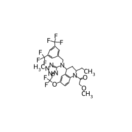 CCC1CC(N(Cc2cc(C(F)(F)F)cc(C(F)(F)F)c2)c2nnn(C)n2)c2cc(OC(F)(F)F)ccc2N1C(=O)COC